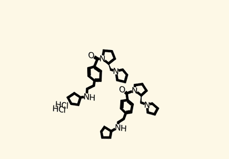 Cl.Cl.O=C(c1ccc(CCNC2CCCC2)cc1)N1CCC[C@H]1CN1CCCC1.O=C(c1ccc(CCNC2CCCC2)cc1)N1CCC[C@H]1CN1CCCC1